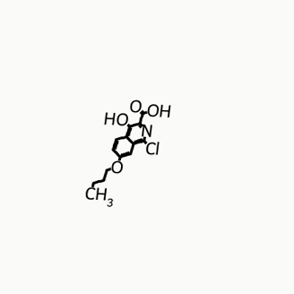 CCCCOc1ccc2c(O)c(C(=O)O)nc(Cl)c2c1